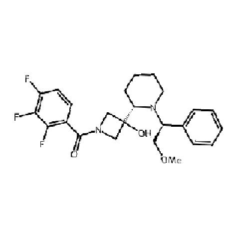 COC[C@H](c1ccccc1)N1CCCC[C@H]1C1(O)CN(C(=O)c2ccc(F)c(F)c2F)C1